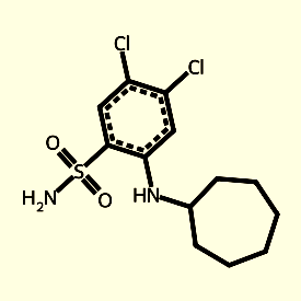 NS(=O)(=O)c1cc(Cl)c(Cl)cc1NC1CCCCCC1